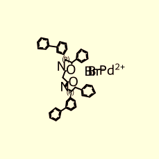 [Br-].[Br-].[Pd+2].c1ccc(-c2cccc([C@H]3N=C(CC4=N[C@H](c5cccc(-c6ccccc6)c5)C(c5ccccc5)O4)OC3c3ccccc3)c2)cc1